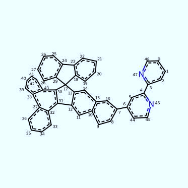 c1ccc(-c2cc(-c3ccc4cc5c(cc4c3)C3(c4ccccc4-c4ccccc43)c3c-5c4ccccc4c4ccccc34)ccn2)nc1